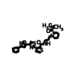 CN(C)C(=O)[C@@H]1CCCCN1CCCNC(=O)c1sccc1-c1nc(-c2cc(-c3ccccc3)no2)cs1